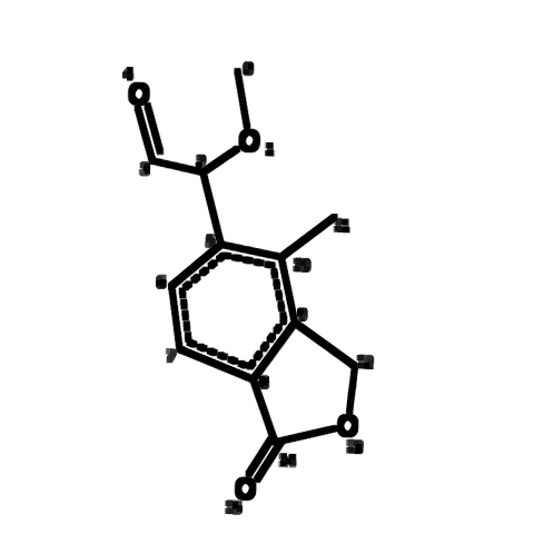 COC(C=O)c1ccc2c(c1C)COC2=O